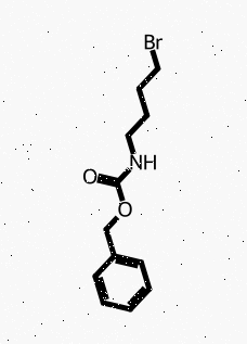 O=C(NCCCCBr)OCc1ccccc1